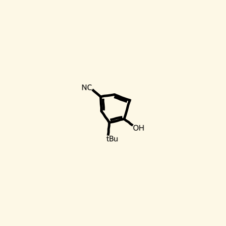 CC(C)(C)c1cc(C#N)ccc1O